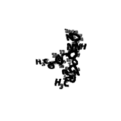 CCS(=O)(=O)c1ccc(Oc2cc(Cn3ccc(C(C)=O)c3)c3nc(-c4ccccn4)[nH]c3c2)cn1